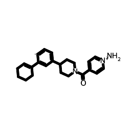 N[n+]1ccc(C(=O)N2CCC(c3cc[c]c(C4=CCCCC4)c3)CC2)cc1